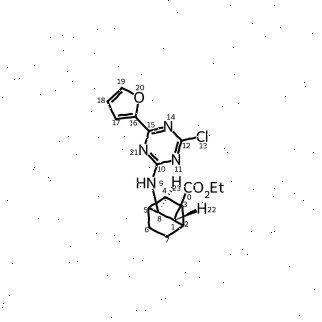 CCOC(=O)[C@@H]1C2CCC(CC2)[C@H]1Nc1nc(Cl)nc(-c2ccco2)n1